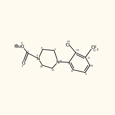 CC(C)COC(=O)N1CCN(c2cccc(C(F)(F)F)c2Cl)CC1